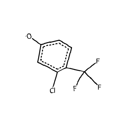 [O]c1ccc(C(F)(F)F)c(Cl)c1